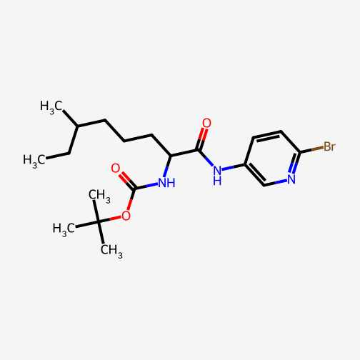 CCC(C)CCCC(NC(=O)OC(C)(C)C)C(=O)Nc1ccc(Br)nc1